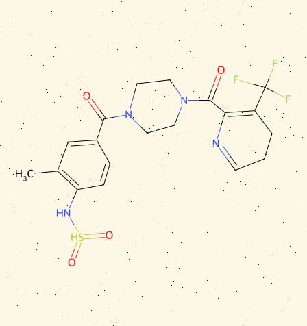 Cc1cc(C(=O)N2CCN(C(=O)C3=C(C(F)(F)F)CCC=N3)CC2)ccc1N[SH](=O)=O